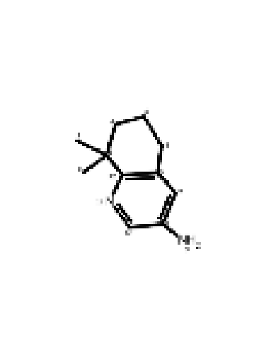 CC1(C)CCCc2cc(N)cnc21